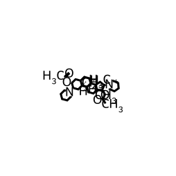 CC(=O)OC1CC2CC[C@@H]3[C@@H](CC[C@]4(C)C(OC(C)=O)C([N+]5(C)CCCCC5)C[C@@H]34)[C@@]2(C)CC1N1CCCCC1